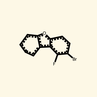 Fc1c(Br)ccc2oc3ccccc3c12